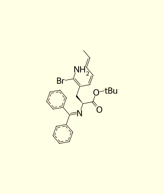 C/C=C/C=C\C(C[C@H](N=C(c1ccccc1)c1ccccc1)C(=O)OC(C)(C)C)=C(/N)Br